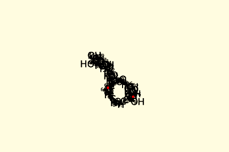 C=C1C[C@@H]2CC[C@]34CC(O)C(O3)[C@@H]3O[C@H]5CC[C@H](CC(=O)O[C@@H]6CC7OC8C[C@]9(C[C@@H]%10O[C@@]%11(CC[C@@H]%10O9)C[C@H](C)[C@@H]9O[C@H](CO)[C@H](O)C[C@@H]9O%11)O[C@@H]8C[C@@H]7O[C@H]6C[C@H]6O[C@@H](CC[C@@H]1O2)C[C@@H](C)C6=C)O[C@@H]5[C@H](O4)[C@@H]3I